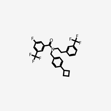 O=C(c1cc(F)cc(C(F)(F)F)c1)N(CCc1cccc(C(F)(F)F)c1)Cc1ccc(C2CCC2)cc1